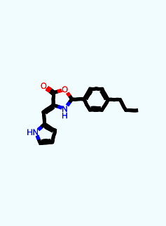 CCCc1ccc(C2N/C(=C\c3ccc[nH]3)C(=O)O2)cc1